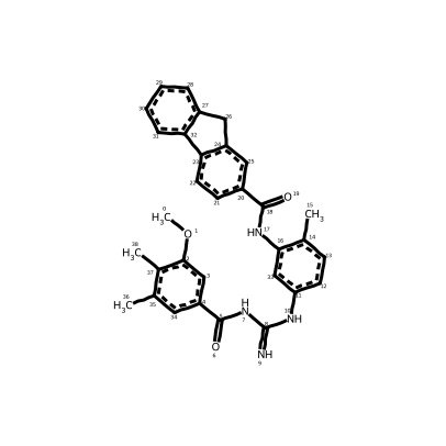 COc1cc(C(=O)NC(=N)Nc2ccc(C)c(NC(=O)c3ccc4c(c3)Cc3ccccc3-4)c2)cc(C)c1C